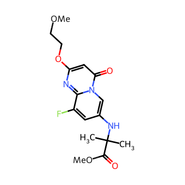 COCCOc1cc(=O)n2cc(NC(C)(C)C(=O)OC)cc(F)c2n1